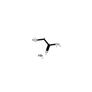 Br.CC(=O)CN